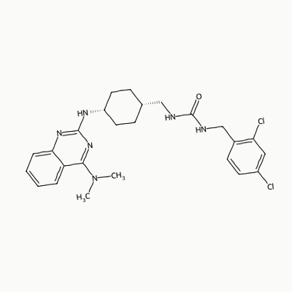 CN(C)c1nc(N[C@H]2CC[C@@H](CNC(=O)NCc3ccc(Cl)cc3Cl)CC2)nc2ccccc12